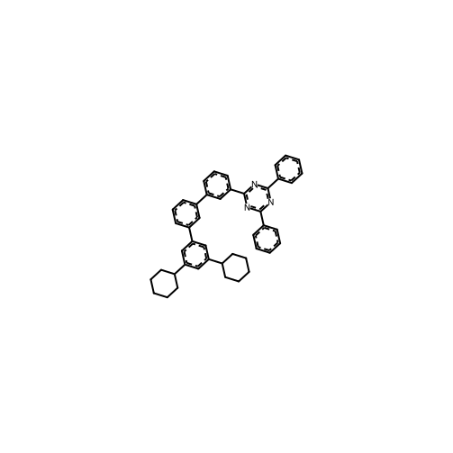 c1ccc(-c2nc(-c3ccccc3)nc(-c3cccc(-c4cccc(-c5cc(C6CCCCC6)cc(C6CCCCC6)c5)c4)c3)n2)cc1